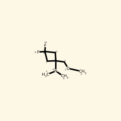 COCC1(N(C)C)CC(F)(F)C1